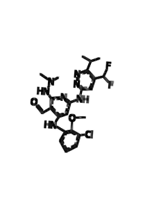 COc1c(Cl)cccc1Nc1cc(Nc2cc(C(F)F)c(C(C)C)nn2)nc(NN(C)C)c1C=O